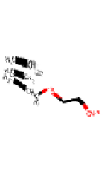 C=C.C=C.C=C.COCCO